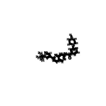 [2H]C([2H])([2H])n1cc(-c2ccc3cnc(NC(=O)c4ccnc(N5CCN(C)CC5)c4)cc3n2)cn1